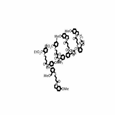 CCOC(=O)c1cc(F)ccc1SCCCC(=O)N(C)c1ccc(OC)cc1.CCOC(=O)c1cc(F)ccc1SCCCC(=O)N(C)c1ccccc1OC.COCc1ccccc1SCCCC(=O)N1CCc2ccc(OC)cc21.COc1ccc2c(c1)N(C(=O)CCCS(=O)(=O)c1ccccc1-c1nc(C)no1)CC2.COc1ccc2c(c1)N(C(=O)CCCSc1ccccc1-c1nc(C)no1)CC2